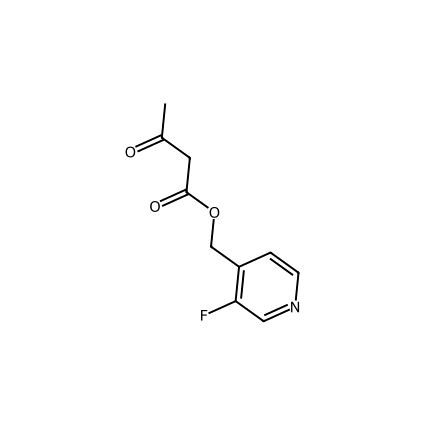 CC(=O)CC(=O)OCc1ccncc1F